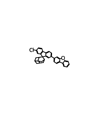 Clc1ccc2c(c1)C1(c3cc(-c4ccc5c(c4)oc4ccccc45)ccc3-2)C2CC3CC(C2)CC1C3